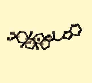 C[C@@]1(O)CC[C@H]2[C@H](CC[C@@H]3[C@@H]2CC[C@]2(C)[C@@H](C(=O)Cn4cc5cncnc5n4)CC[C@@H]32)C1